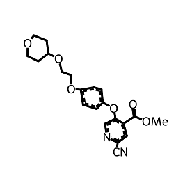 COC(=O)c1cc(C#N)ncc1Oc1ccc(OCCOC2CCOCC2)cc1